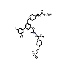 C=N/C(=N\C=C(/C)Oc1cc(CN2CCC(CNC(=O)NC)CC2)cc(-c2cc(F)cc(Cl)c2)n1)N1CCN(CCCS(C)(=O)=O)CC1